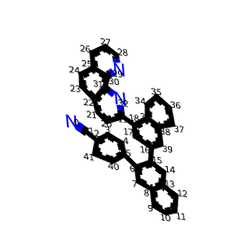 N#Cc1ccc(-c2cc3ccccc3cc2-c2cc(-c3ccc4ccc5cccnc5c4n3)c3ccccc3c2)cc1